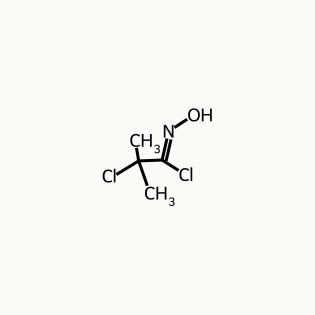 CC(C)(Cl)C(Cl)=NO